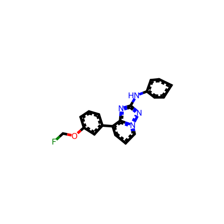 FCOc1cccc(-c2cccn3nc(Nc4ccccc4)nc23)c1